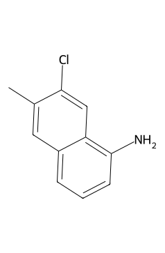 Cc1cc2cccc(N)c2cc1Cl